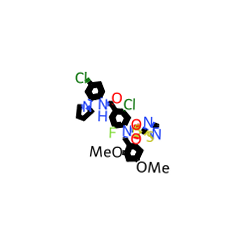 COc1ccc(CN(c2cc(Cl)c(C(=O)Nc3ccc(Cl)cc3N3CCCC3)cc2F)S(=O)(=O)c2ncns2)c(OC)c1